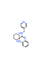 c1ccc2c(c1)N=C(NCc1ccncc1)C1(CCCCC1)N2